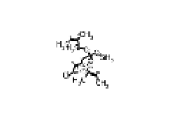 CC=C(C)[SiH2]OC(CCCCCl)(O[SiH3])O[SiH2]C(C)=CC